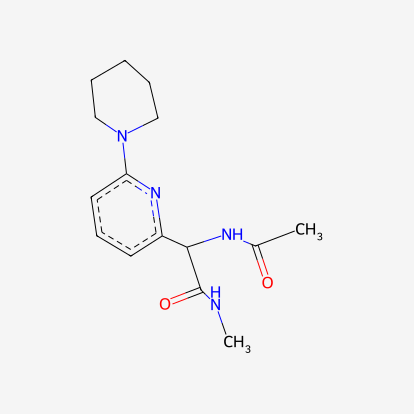 CNC(=O)C(NC(C)=O)c1cccc(N2CCCCC2)n1